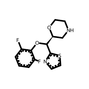 Fc1cccc(F)c1OC(c1nccs1)[C@@H]1CNCCO1